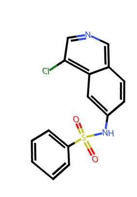 O=S(=O)(Nc1ccc2cncc(Cl)c2c1)c1ccccc1